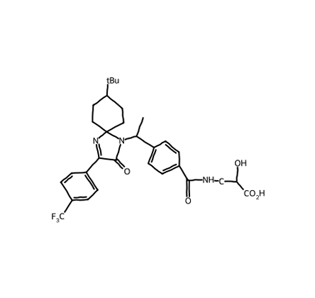 CC(c1ccc(C(=O)NCC(O)C(=O)O)cc1)N1C(=O)C(c2ccc(C(F)(F)F)cc2)=NC12CCC(C(C)(C)C)CC2